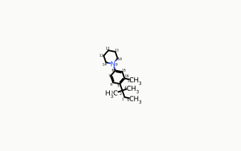 CCC(C)(C)c1ccc(N2CCCCC2)cc1C